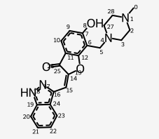 CN1CCN(Cc2c(O)ccc3c2OC(=Cc2n[nH]c4ccccc24)C3=O)CC1